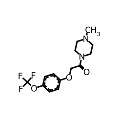 CN1CCN(C(=O)COc2ccc(OC(F)(F)F)cc2)CC1